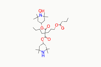 CCCCC(CCCOC(=O)CCC)(C(=O)OC1CC(C)(C)NC(C)(C)C1)C(=O)OC1CC(C)(C)N(O)C(C)(C)C1